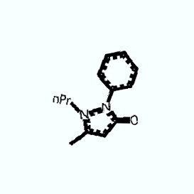 CCCn1c(C)cc(=O)n1-c1ccccc1